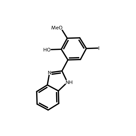 COc1cc(I)cc(-c2nc3ccccc3[nH]2)c1O